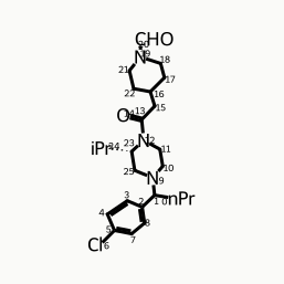 CCCC(c1ccc(Cl)cc1)N1CCN(C(=O)CC2CCN(C=O)CC2)[C@@H](C(C)C)C1